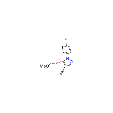 C#Cc1cnn(-c2ccc(F)cc2)c1OCCOC